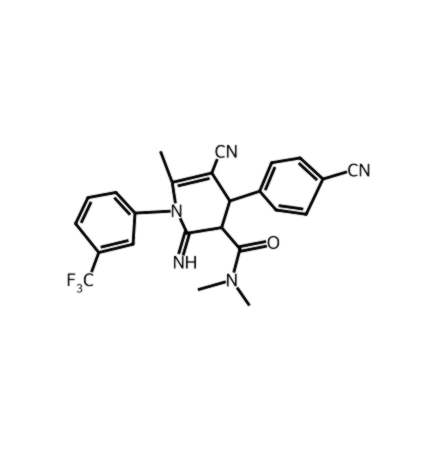 CC1=C(C#N)C(c2ccc(C#N)cc2)C(C(=O)N(C)C)C(=N)N1c1cccc(C(F)(F)F)c1